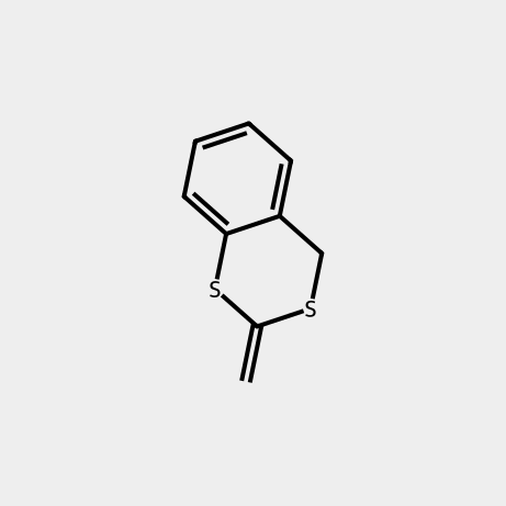 C=C1SCc2ccccc2S1